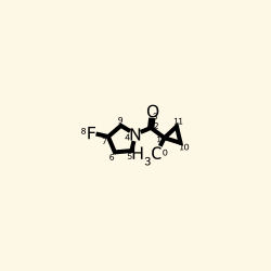 CC1(C(=O)N2CCC(F)C2)CC1